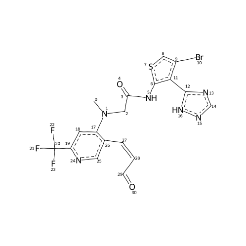 CN(CC(=O)Nc1scc(Br)c1-c1ncn[nH]1)c1cc(C(F)(F)F)ncc1/C=C\C=O